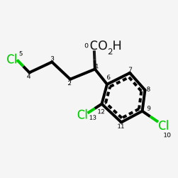 O=C(O)C(CCCCl)c1ccc(Cl)cc1Cl